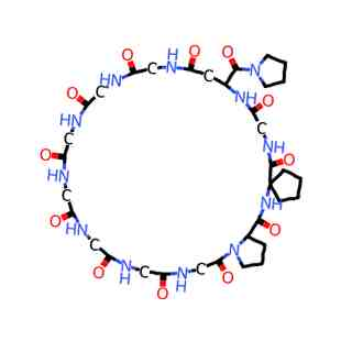 O=C1CNC(=O)CNC(=O)CNC(=O)CC(C(=O)N2CCCC2)NC(=O)CNC(=O)C2(CCCC2)NC(=O)C2CCCN2C(=O)CNC(=O)CNC(=O)CNC(=O)CN1